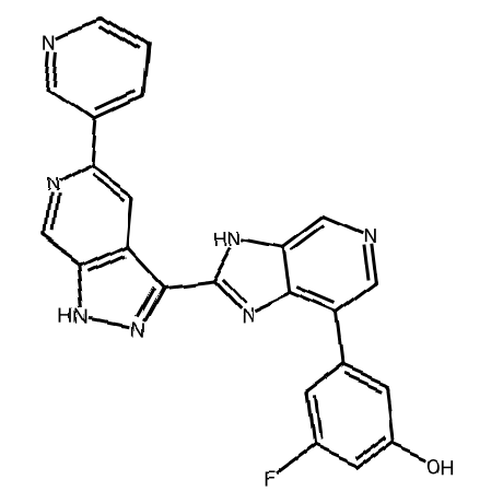 Oc1cc(F)cc(-c2cncc3[nH]c(-c4n[nH]c5cnc(-c6cccnc6)cc45)nc23)c1